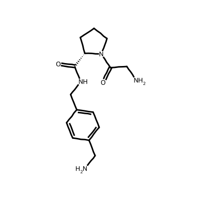 NCC(=O)N1CCC[C@H]1C(=O)NCc1ccc(CN)cc1